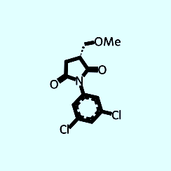 COC[C@H]1CC(=O)N(c2cc(Cl)cc(Cl)c2)C1=O